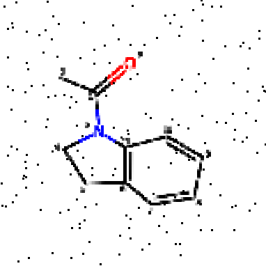 CC(=O)N1CCc2ccc[c]c21